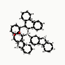 c1ccc(-c2c(N(c3ccc4c(c3)oc3ccccc34)c3cccc4oc5ccccc5c34)c3ccccc3c3ccccc23)cc1